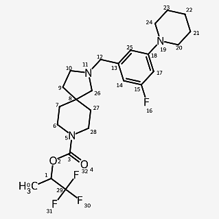 CC(OC(=O)N1CCC2(CCN(Cc3cc(F)cc(N4CCCCC4)c3)C2)CC1)C(F)(F)F